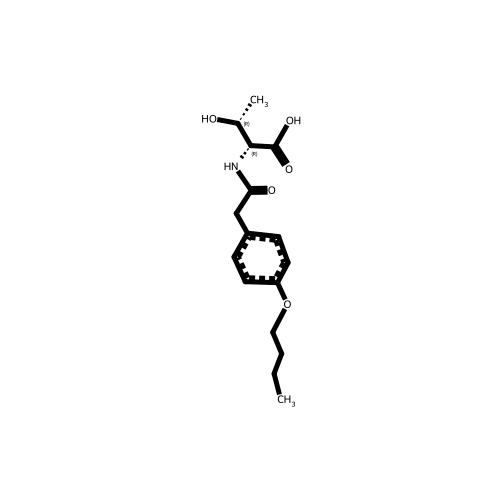 CCCCOc1ccc(CC(=O)N[C@@H](C(=O)O)[C@@H](C)O)cc1